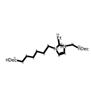 CCCCCCCCCCCCCCCCN1C=CN(CCCCCCCCCCC)C1CC